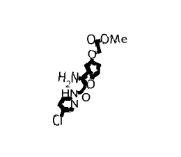 COC(=O)COc1ccc2oc(C(=O)Nc3ccc(Cl)cn3)c(N)c2c1